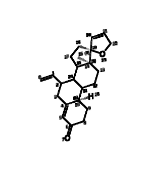 C=CC1CC2=CC(=O)CC[C@@H]2C2CC[C@@]3(C)C(CC[C@@]34C=CCO4)C12